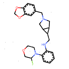 FC1COCCN1c1ccccc1NCC1C2CN(Cc3ccc4c(c3)OCO4)CC12